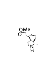 COC(=O)CCc1cccc2c1CCN[C@H]2C